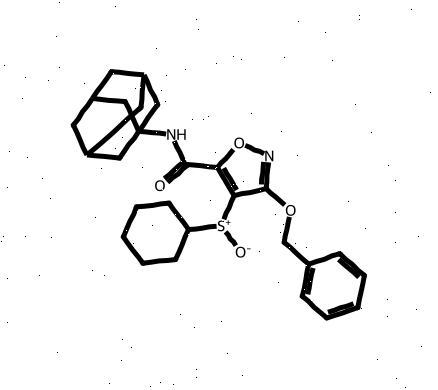 O=C(NC12CC3CC(CC(C3)C1)C2)c1onc(OCc2ccccc2)c1[S+]([O-])C1CCCCC1